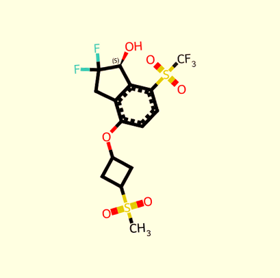 CS(=O)(=O)C1CC(Oc2ccc(S(=O)(=O)C(F)(F)F)c3c2CC(F)(F)[C@H]3O)C1